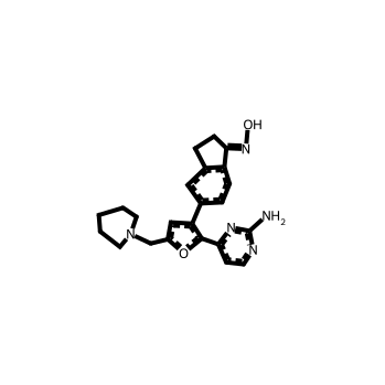 Nc1nccc(-c2oc(CN3CCCCC3)cc2-c2ccc3c(c2)CC/C3=N\O)n1